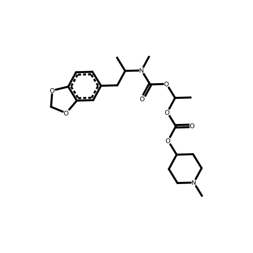 CC(OC(=O)OC1CCN(C)CC1)OC(=O)N(C)C(C)Cc1ccc2c(c1)OCO2